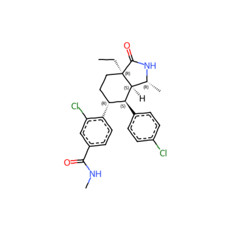 CC[C@@]12CC[C@@H](c3ccc(C(=O)NC)cc3Cl)[C@H](c3ccc(Cl)cc3)[C@@H]1[C@@H](C)NC2=O